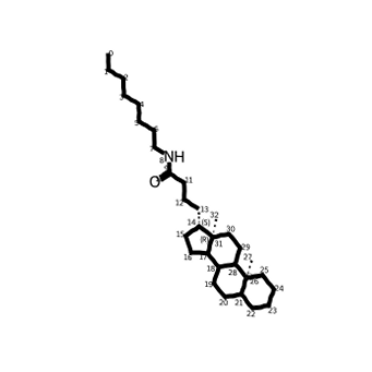 CCCCCCCCNC(=O)CCC[C@H]1CCC2C3CCC4CCCC[C@]4(C)C3CC[C@@]21C